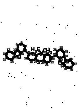 CC1(C)c2cc(-c3cccc4c3oc3ccccc34)ccc2Sc2ccc(-c3cccc4c3oc3ccccc34)cc21